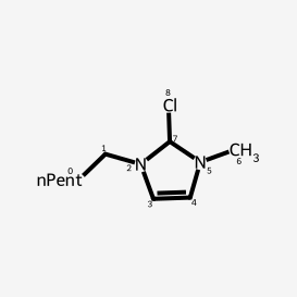 CCCCCCN1C=CN(C)C1Cl